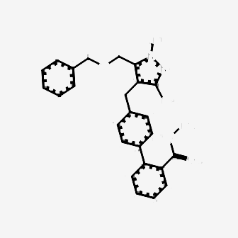 CCCCc1nn(C(C)C)c(COCc2ccccc2)c1Cc1ccc(-c2ccccc2C(=O)OC(C)(C)C)cc1